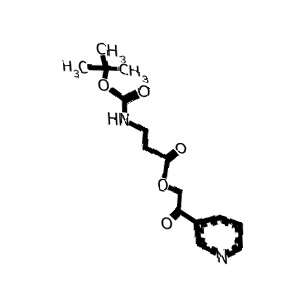 CC(C)(C)OC(=O)NCCC(=O)OCC(=O)c1cccnc1